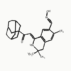 Cc1cc2c(cc1/C=N/O)/C(=C/C(=O)C13CC4CC(CC(C4)C1)C3)NC(C)(C)C2